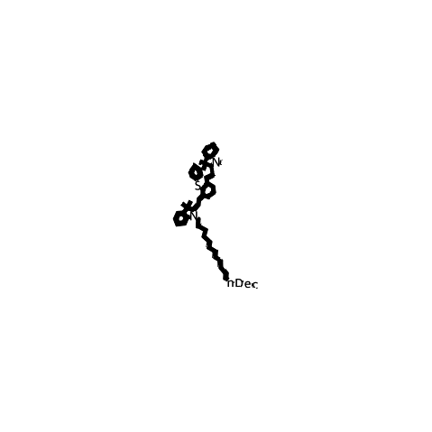 CCCCCCCCCCCCCCCCCCCCCCN1/C(=C/C=C2\CCCC(/C=C/C3N(C)c4ccccc4C3(C)C)=C2Sc2ccccc2)C(C)(C)c2ccccc21